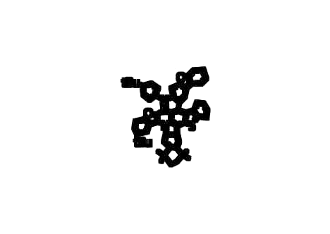 CC(C)(C)c1ccc(Nc2cc3oc4ccccc4c3cc2-c2c3c4c(c5cc6c(cc5n4-c4c(oc5ccc(C(C)(C)C)cc45)B3)C(C)(C)CCC6(C)C)c3sc4ccccc4c23)cc1